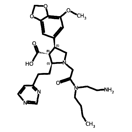 CCCCN(CCN)C(=O)CN1C[C@H](c2cc(OC)c3c(c2)OCO3)[C@@H](C(=O)O)[C@@H]1CCc1ccncn1